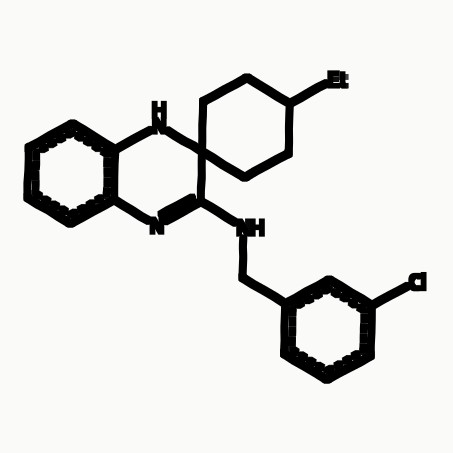 CCC1CCC2(CC1)Nc1ccccc1N=C2NCc1cccc(Cl)c1